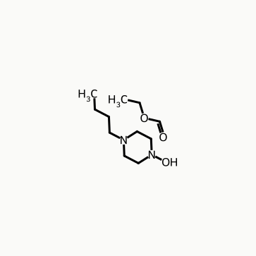 CCCCN1CCN(O)CC1.CCOC=O